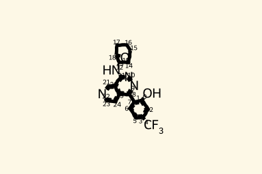 Oc1cc(C(F)(F)F)ccc1-c1nnc(N[C@@H]2CC3CCC2O3)c2cnccc12